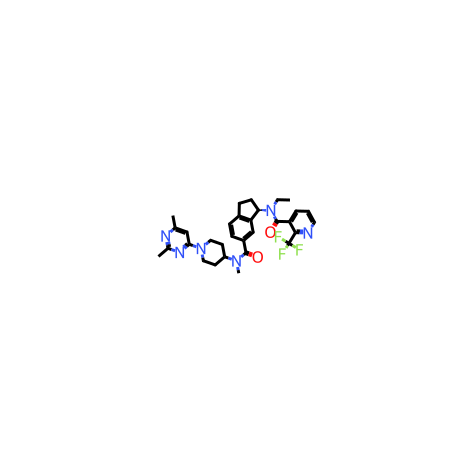 CCN(C(=O)c1cccnc1C(F)(F)F)[C@@H]1CCc2ccc(C(=O)N(C)C3CCN(c4cc(C)nc(C)n4)CC3)cc21